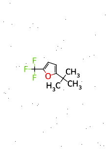 CC(C)(C)c1ccc(C(F)(F)F)o1